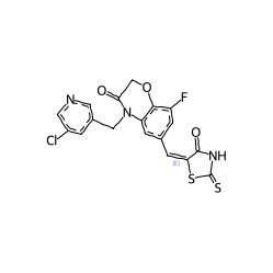 O=C1NC(=S)S/C1=C/c1cc(F)c2c(c1)N(Cc1cncc(Cl)c1)C(=O)CO2